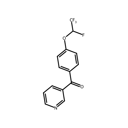 O=C(c1ccc(OC(F)C(F)(F)F)cc1)c1cccnc1